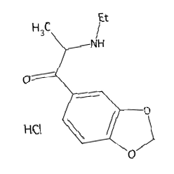 CCNC(C)C(=O)c1ccc2c(c1)OCO2.Cl